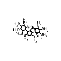 Bc1cc(B)c(-c2c(B)c(B)c(B)c(B)c2B)c(B)c1-c1c(B)c(B)c(B)c(B)c1B